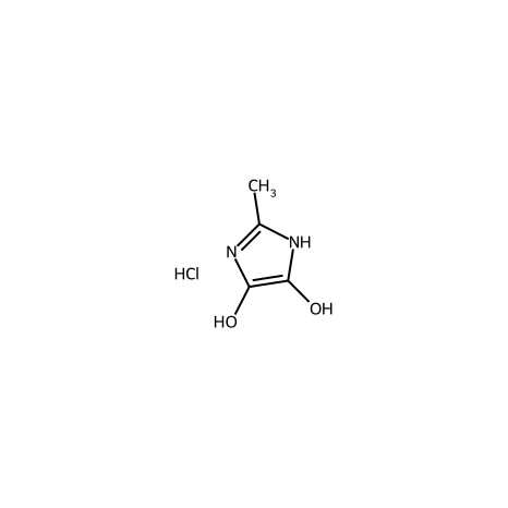 Cc1nc(O)c(O)[nH]1.Cl